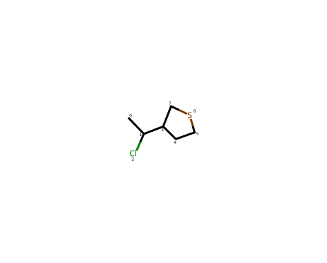 CC(Cl)C1CCSC1